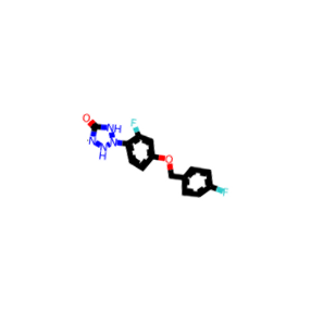 O=C1[N]NN(c2ccc(OCc3ccc(F)cc3)cc2F)N1